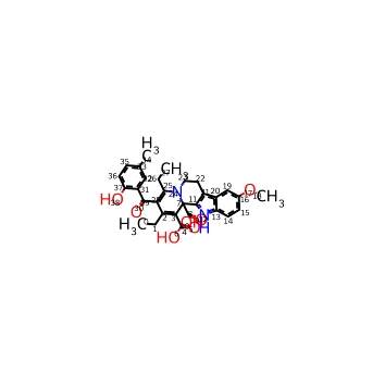 CCC1=C(C(=O)O)C2(C(=O)O)c3[nH]c4ccc(OC)cc4c3CCN2C(CC)=C1C(=O)c1cc(C)ccc1O